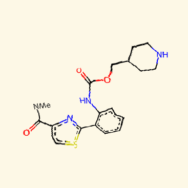 CNC(=O)c1csc(-c2ccccc2NC(=O)OCC2CCNCC2)n1